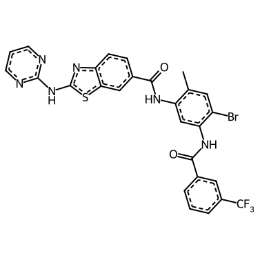 Cc1cc(Br)c(NC(=O)c2cccc(C(F)(F)F)c2)cc1NC(=O)c1ccc2nc(Nc3ncccn3)sc2c1